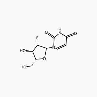 O=c1ccn(C2O[C@H](CO)[C@@H](O)[C@@H]2F)c(=O)[nH]1